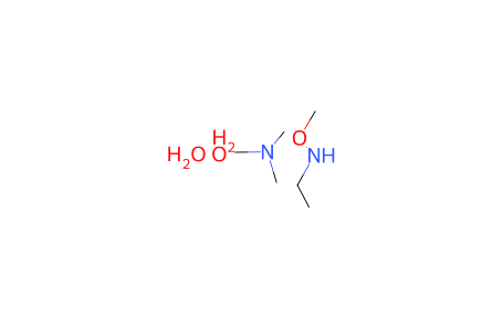 CCNOC.CN(C)C.O.O